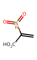 C=C(C(=O)O)[SH](=O)=O